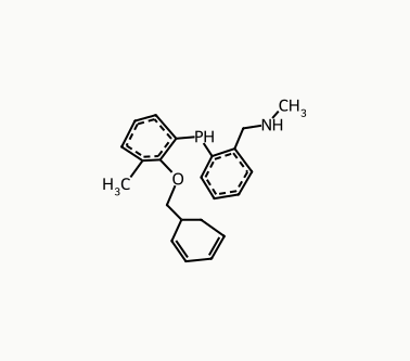 CNCc1ccccc1Pc1cccc(C)c1OCC1C=CC=CC1